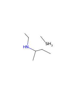 CCNC(C)CC.C[SiH3]